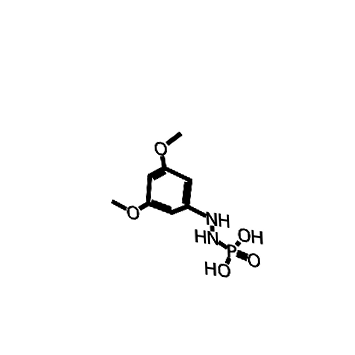 COc1cc(NNP(=O)(O)O)cc(OC)c1